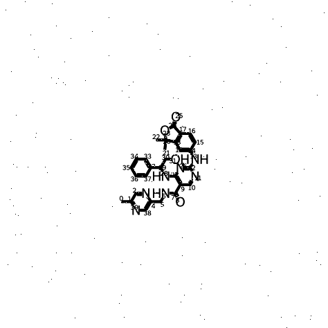 Cc1cnc(CNC(=O)c2cnc(Nc3ccc4c(c3)C(C)(C)OC4=O)nc2NC(CO)c2ccccc2)cn1